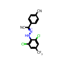 N#C/C(=N\Nc1c(Cl)cc(C(F)(F)F)cc1Cl)c1ccc(C#N)cc1